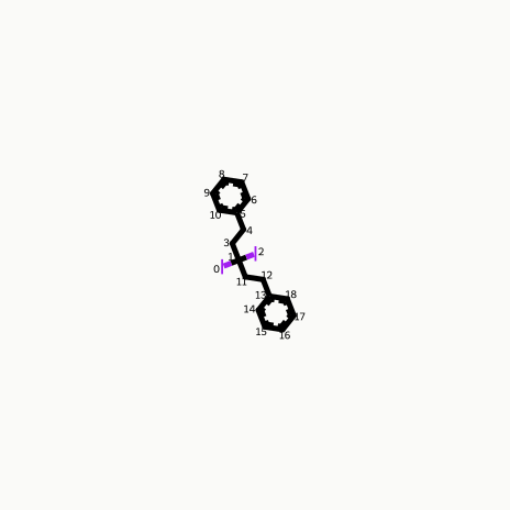 IC(I)(CCc1ccccc1)CCc1ccccc1